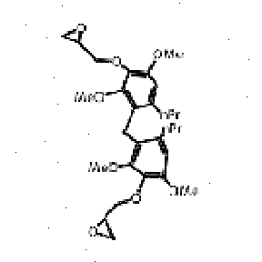 CCCc1cc(OC)c(OCC2CO2)c(OC)c1Cc1c(CCC)cc(OC)c(OCC2CO2)c1OC